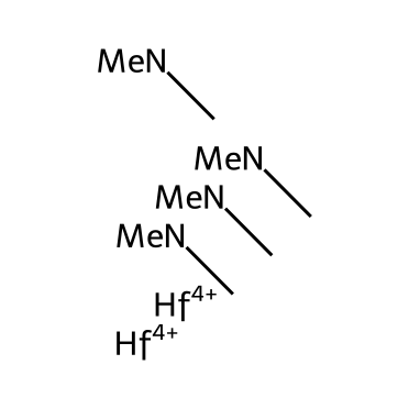 C[N-]C.C[N-]C.C[N-]C.C[N-]C.[Hf+4].[Hf+4]